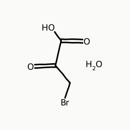 O.O=C(O)C(=O)CBr